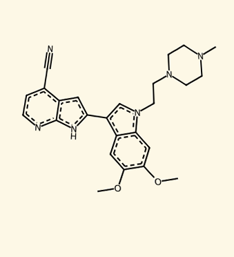 COc1cc2c(-c3cc4c(C#N)ccnc4[nH]3)cn(CCN3CCN(C)CC3)c2cc1OC